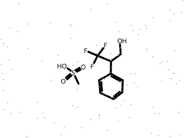 CS(=O)(=O)O.OCC(c1ccccc1)C(F)(F)F